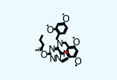 CCC[C@H](C)Oc1nc(N(Cc2ccc(OC)cc2OC)Cc2ccc(OC)cc2OC)c2nccn2n1